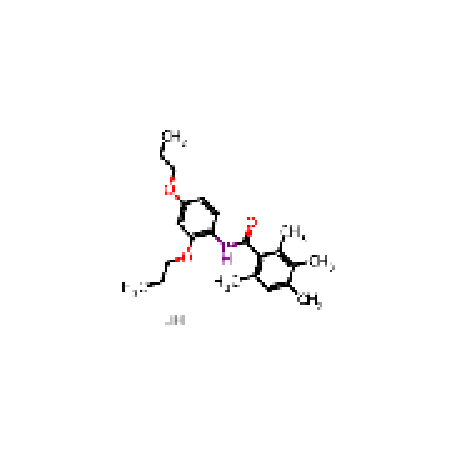 CCCOc1ccc(PC(=O)c2c(C)cc(C)c(C)c2C)c(OCCC)c1.[LiH]